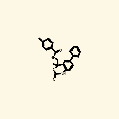 Cc1ccc(C(=O)NCC2(C)OC(=O)Nc3ccc(-c4ccccc4)cc32)cc1